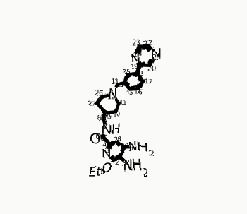 CCOc1nc(C(=O)NCC2CCN(Cc3cccc(-c4cnccn4)c3)CC2)cc(N)c1N